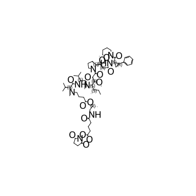 CC[C@H](C)[C@@H]([C@@H](CC(=O)N1CCC[C@H]1[C@H](OC)[C@@H](C)C(=O)N[C@@]1(C(=O)N2CCCCO2)C[C@@H]1c1ccccc1)OC)N(C)C(=O)[C@@H](NC(=O)[C@H](C(C)C)N(C)CCCC(=O)O[C@H](C)CNC(=O)CCCC(=O)ON1C(=O)CCC1=O)C(C)C